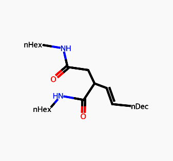 CCCCCCCCCC/C=C/C(CC(=O)NCCCCCC)C(=O)NCCCCCC